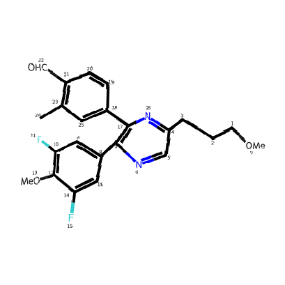 COCCCc1cnc(-c2cc(F)c(OC)c(F)c2)c(-c2ccc(C=O)c(C)c2)n1